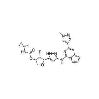 Cn1cc(-c2cc3nccn3c(Nc3cc([C@H]4OC[C@@H](OC(=O)NC5(C)CC5)[C@H]4F)[nH]n3)n2)cn1